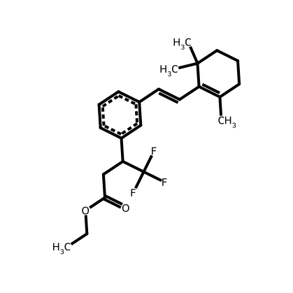 CCOC(=O)CC(c1cccc(/C=C/C2=C(C)CCCC2(C)C)c1)C(F)(F)F